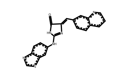 O=C1NC(Nc2ccc3ncsc3c2)=N/C1=C\c1ccc2cccnc2c1